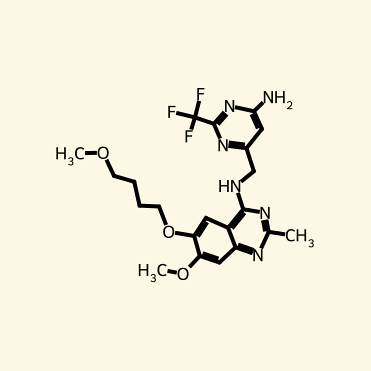 COCCCCOc1cc2c(NCc3cc(N)nc(C(F)(F)F)n3)nc(C)nc2cc1OC